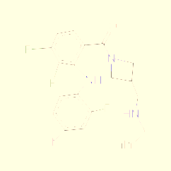 CC(C)CNCC1CN(C(=O)c2ccc(F)c(F)c2Nc2ccc(I)cc2F)C1